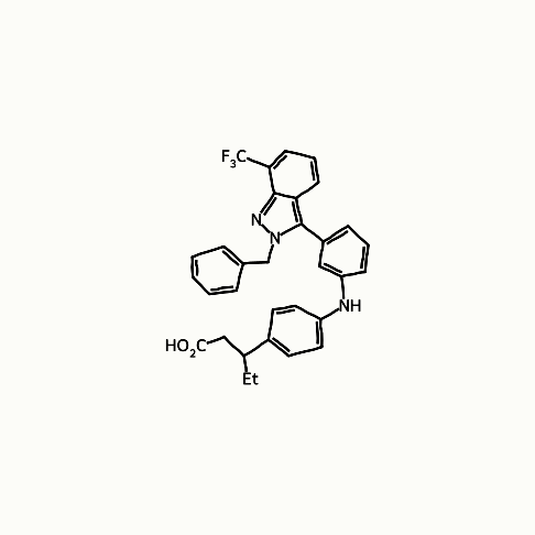 CCC(CC(=O)O)c1ccc(Nc2cccc(-c3c4cccc(C(F)(F)F)c4nn3Cc3ccccc3)c2)cc1